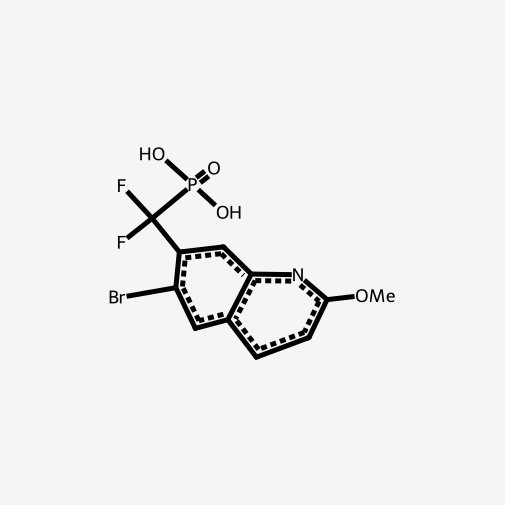 COc1ccc2cc(Br)c(C(F)(F)P(=O)(O)O)cc2n1